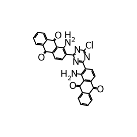 Nc1c(-c2nc(Cl)nc(-c3ccc4c(c3N)C(=O)c3ccccc3C4=O)n2)ccc2c1C(=O)c1ccccc1C2=O